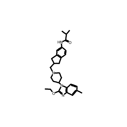 CCOc1nc2cc(C)ccc2n1C1CCN(CC2Cc3ccc(NC(=O)C(C)C)cc3C2)CC1